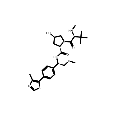 CN[C@H](C(=O)N1C[C@H](O)C[C@H]1C(=O)N[C@@H](COC)c1ccc(-c2scnc2C)cc1)C(C)(C)C